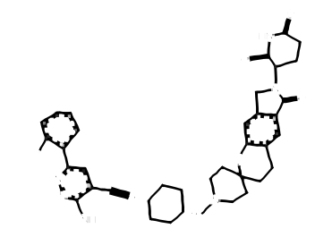 Nc1nnc(-c2ccccc2O)cc1C#C[C@H]1CC[C@@H](CN2CCC3(CCc4cc5c(cc4O3)CN(C3CCC(=O)NC3=O)C5=O)CC2)CC1